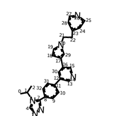 CC(C)n1cnnc1-c1ccc(-c2cncc(-c3ccn(CCc4ccncc4)c3)c2)cc1